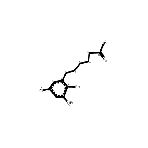 CC(C)COc1cc(Cl)cc(CCCCCC(=O)C(C)C)c1F